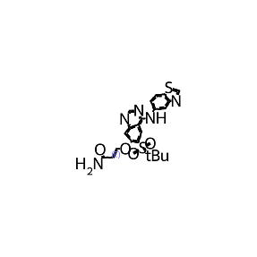 CC(C)(C)S(=O)(=O)c1cc2c(Nc3ccc4scnc4c3)ncnc2cc1O/C=C/C(N)=O